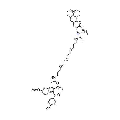 COc1ccc2c(c1)c(CC(=O)NCCCOCCOCCOCCCNC(=O)/C(C)=C/c1cc3cc4c5c(c3oc1=O)CCCN5CCC4)c(C)n2C(=O)c1ccc(Cl)cc1